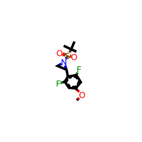 COc1cc(F)c(C2CN2S(=O)(=O)C(C)(C)C)c(F)c1